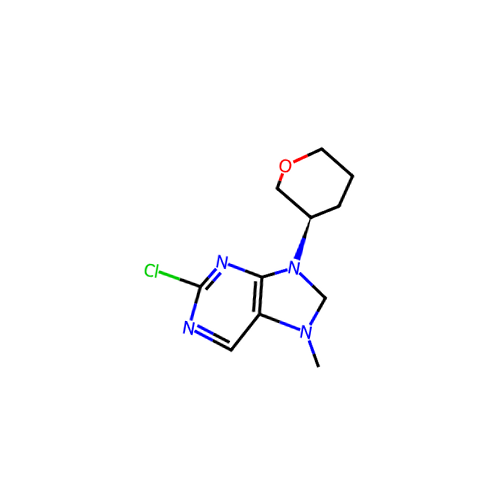 CN1CN([C@@H]2CCCOC2)c2nc(Cl)ncc21